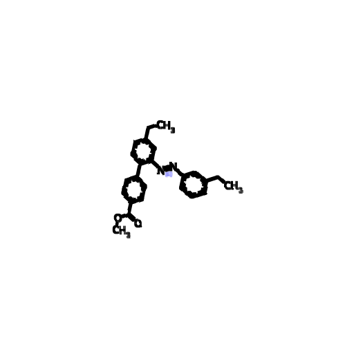 CCc1cccc(/N=N/c2cc(CC)ccc2-c2ccc(C(=O)OC)cc2)c1